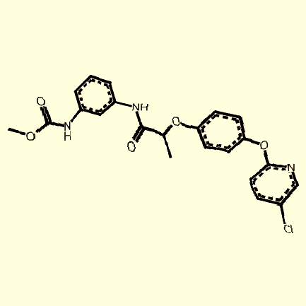 COC(=O)Nc1cccc(NC(=O)C(C)Oc2ccc(Oc3ccc(Cl)cn3)cc2)c1